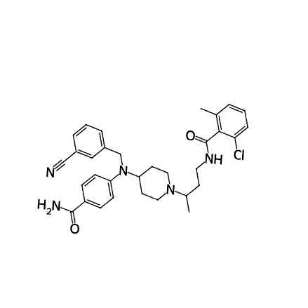 Cc1cccc(Cl)c1C(=O)NCCC(C)N1CCC(N(Cc2cccc(C#N)c2)c2ccc(C(N)=O)cc2)CC1